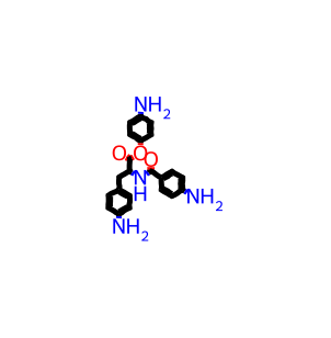 Nc1ccc(CC(NC(=O)c2ccc(N)cc2)C(=O)Oc2ccc(N)cc2)cc1